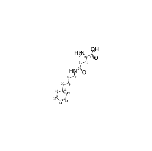 N[C@@H](CCC(=O)NCCCCc1ccccc1)C(=O)O